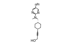 CCCc1cnc(N(C)C[C@H]2CC[C@H](C#CCO)CC2)nc1